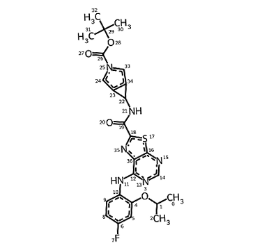 CC(C)Oc1cc(F)ccc1Nc1ncnc2sc(C(=O)NC3c4cn(C(=O)OC(C)(C)C)cc43)nc12